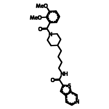 COc1cccc(C(=O)N2CCC(CCCCNC(=O)c3cc4ccncc4s3)CC2)c1OC